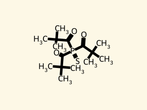 CC(C)(C)C(=O)P(=S)(C(=O)C(C)(C)C)C(=O)C(C)(C)C